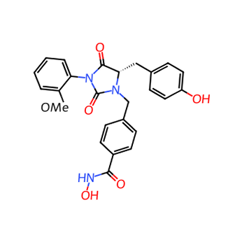 COc1ccccc1N1C(=O)[C@H](Cc2ccc(O)cc2)N(Cc2ccc(C(=O)NO)cc2)C1=O